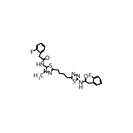 CN1N=C(CCCCc2nnc(NC(=O)Cc3ccccc3F)s2)SC1NC(=O)Cc1ccccc1F